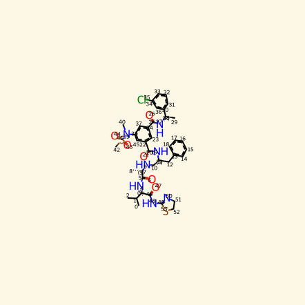 CC(C)[C@H](NC(=O)[C@H](C)NC[C@H](Cc1ccccc1)NC(=O)c1cc(C(=O)N[C@H](C)c2cccc(Cl)c2)cc(N(C)S(C)(=O)=O)c1)C(=O)NC1=NCCS1